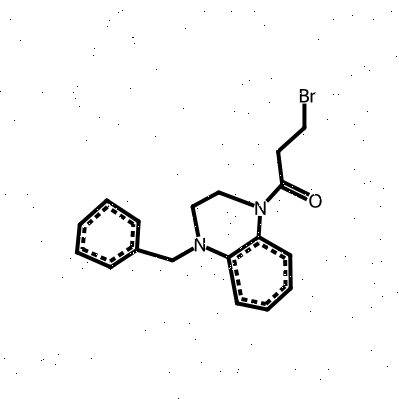 O=C(CCBr)N1CCN(Cc2ccccc2)c2ccccc21